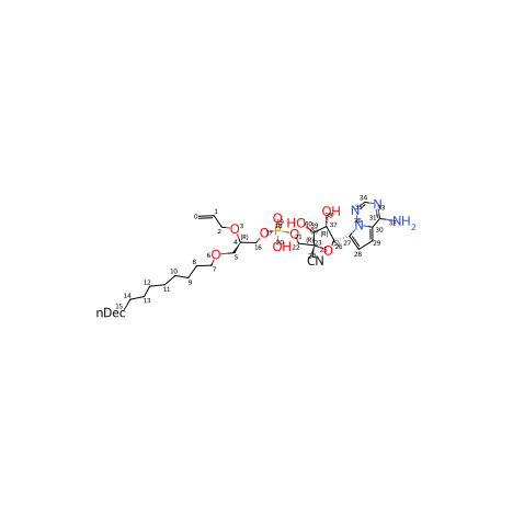 C=CCO[C@H](COCCCCCCCCCCCCCCCCCC)COP(=O)(O)OC[C@@]1(C#N)O[C@@H](c2ccc3c(N)ncnn23)[C@H](O)[C@@H]1O